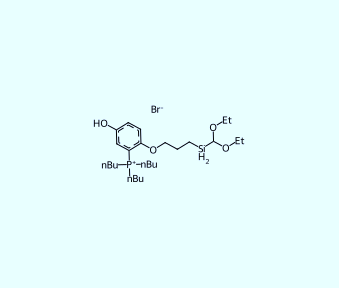 CCCC[P+](CCCC)(CCCC)c1cc(O)ccc1OCCC[SiH2]C(OCC)OCC.[Br-]